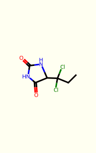 CCC(Cl)(Cl)C1NC(=O)NC1=O